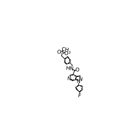 CS(=O)(=O)Cc1ccc(CNC(=O)c2cncc3c2cnn3-c2ccc(F)cc2)cc1